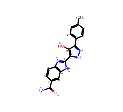 Cc1ccc(-c2n[nH]c(-c3nc4ccc(C(N)=O)cc4[nH]3)c2O)cc1